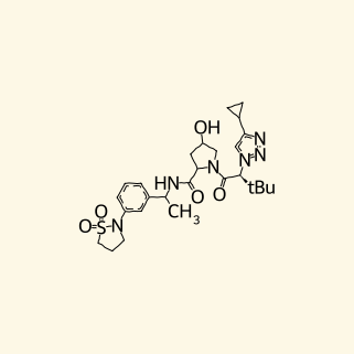 CC(NC(=O)C1CC(O)CN1C(=O)[C@@H](n1cc(C2CC2)nn1)C(C)(C)C)c1cccc(N2CCCS2(=O)=O)c1